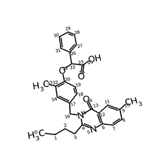 CCCCc1nc2ccc(C)cc2c(=O)n1Cc1ccc(OC(C(=O)O)c2ccccc2)c(C)c1